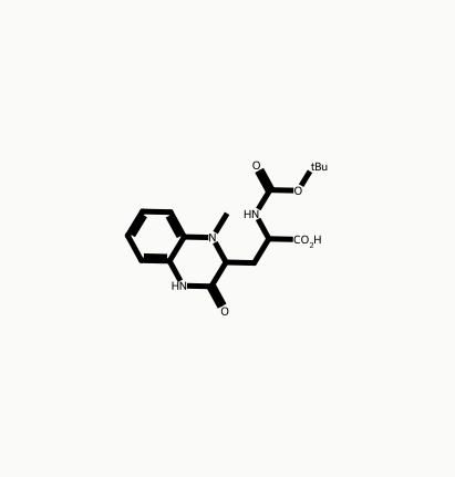 CN1c2ccccc2NC(=O)C1CC(NC(=O)OC(C)(C)C)C(=O)O